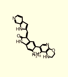 Cc1cc2c(cc1-c1cnc3c(c1C)NCCO3)/C(=C/c1cc3ccncc3[nH]1)C(=O)N2